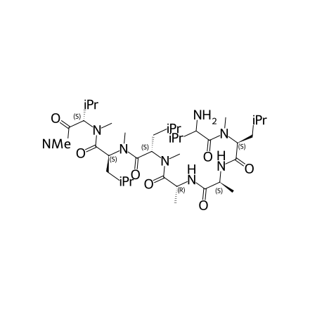 CNC(=O)[C@H](C(C)C)N(C)C(=O)[C@H](CC(C)C)N(C)C(=O)[C@H](CC(C)C)N(C)C(=O)[C@@H](C)NC(=O)[C@H](C)NC(=O)[C@H](CC(C)C)N(C)C(=O)C(N)C(C)C